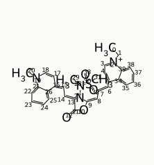 CC[n+]1ccc(C=CC=c2oc(=O)c(=CC=C3C=CN(C)c4ccccc43)n2N(C)S(C)(=O)=O)c2ccccc21